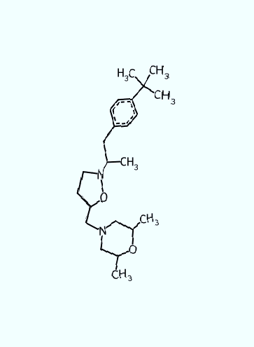 CC1CN(CC2CCN(C(C)Cc3ccc(C(C)(C)C)cc3)O2)CC(C)O1